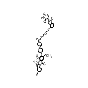 CCc1cc2c(cc1N1CCC(N3CCN(C(=O)COCCOCCSc4cccc5c4CN(C4CCC(=O)NC4=O)C5=O)CC3)CC1)C(C)(C)C1=NC3=CC(C#N)=CCC3=C1C2=O